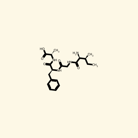 CC[C@H](C)[C@H](N)C(=O)NCC(=O)N[C@@H](Cc1ccccc1)C(=O)N[C@@H](C)C(=O)O